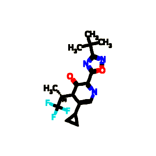 C[C@H](C1C(=O)C(c2nc(C(C)(C)C)no2)=NC=C1C1CC1)C(F)(F)F